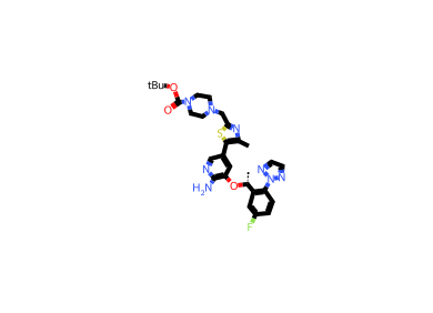 Cc1nc(CN2CCN(C(=O)OC(C)(C)C)CC2)sc1-c1cnc(N)c(O[C@H](C)c2cc(F)ccc2-n2nccn2)c1